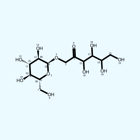 O=C(CO[C@H]1O[C@H](CO)[C@@H](O)[C@H](O)[C@H]1O)C(O)C(O)C(O)CO